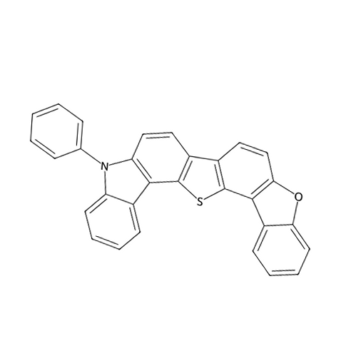 c1ccc(-n2c3ccccc3c3c4sc5c(ccc6oc7ccccc7c65)c4ccc32)cc1